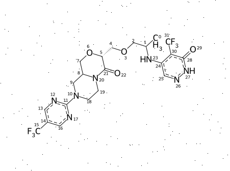 CC(COC[C@H]1OCC2CN(c3ncc(C(F)(F)F)cn3)CCN2C1=O)Nc1cn[nH]c(=O)c1C(F)(F)F